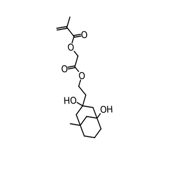 C=C(C)C(=O)OCC(=O)OCCC1(O)CC2(C)CCCC(O)(C2)C1